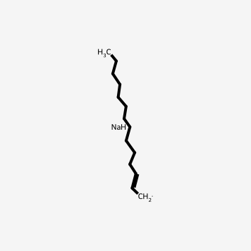 [CH2]C=CCCCCCCCCCCC.[NaH]